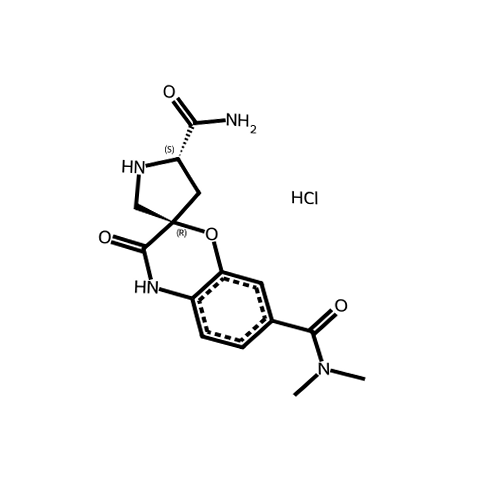 CN(C)C(=O)c1ccc2c(c1)O[C@]1(CN[C@H](C(N)=O)C1)C(=O)N2.Cl